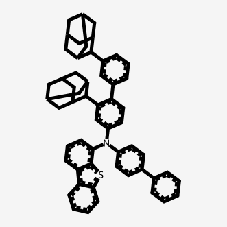 c1ccc(-c2ccc(N(c3ccc(-c4cccc(C5C6CC7CC(C6)CC5C7)c4)c(C4C5CC6CC(C5)CC4C6)c3)c3cccc4c3sc3ccccc34)cc2)cc1